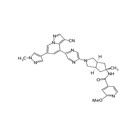 COc1cc(C(=O)N[C@]2(C)C[C@H]3CN(c4cnc(-c5cc(-c6cnn(C)c6)cn6ncc(C#N)c56)cn4)C[C@H]3C2)ccn1